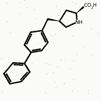 O=C(O)[C@@H]1C[C@H](Cc2ccc(-c3ccccc3)cc2)CN1